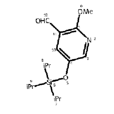 COc1ncc(O[Si](C(C)C)(C(C)C)C(C)C)cc1C=O